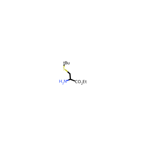 CCOC(=O)C(N)CSC(C)(C)C